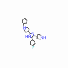 Fc1ccc(-c2[nH]c(C3CCN(Cc4ccccc4)CC3)nc2C2=CCNC=C2)cc1